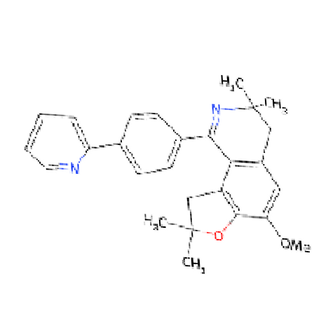 COc1cc2c(c3c1OC(C)(C)C3)C(c1ccc(-c3ccccn3)cc1)=NC(C)(C)C2